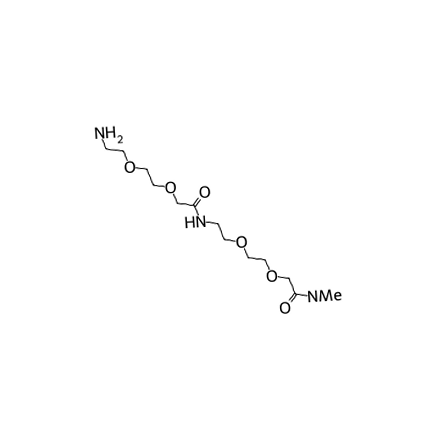 CNC(=O)COCCOCCNC(=O)COCCOCCN